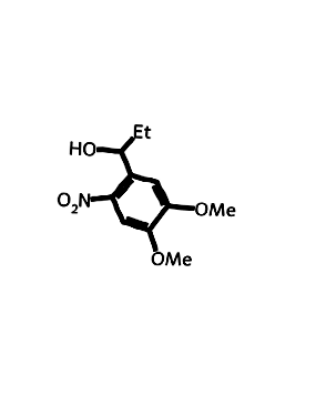 CCC(O)c1cc(OC)c(OC)cc1[N+](=O)[O-]